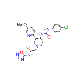 COc1ccc(C2CN(CC(=O)Nc3ncno3)CCC2NC(=O)Nc2ccc(Cl)cc2)nc1